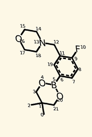 CC1(C)COB(c2ccc(F)c(CN3CCOCC3)c2)OC1